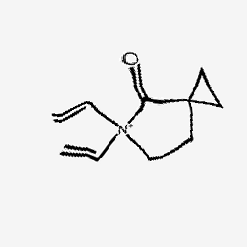 C=C[N+]1(C=C)CCC2(CC2)C1=O